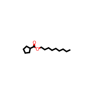 CCCCCCCCCOC(=O)C1CCCC1